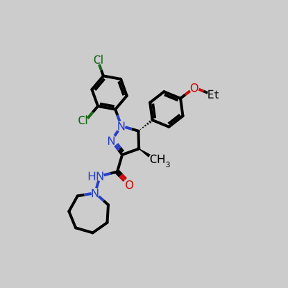 CCOc1ccc([C@@H]2[C@@H](C)C(C(=O)NN3CCCCCC3)=NN2c2ccc(Cl)cc2Cl)cc1